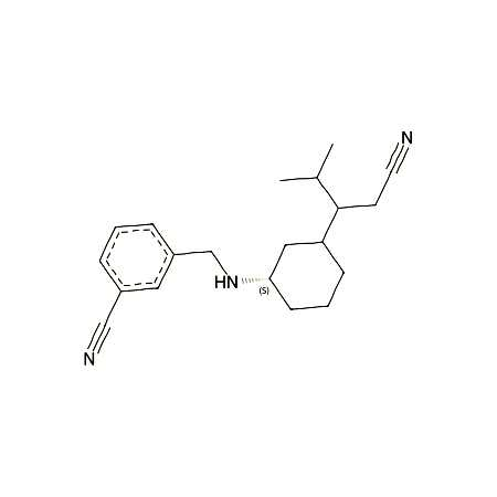 CC(C)C(CC#N)C1CCC[C@H](NCc2cccc(C#N)c2)C1